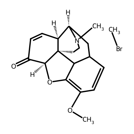 CBr.COC1=C2O[C@H]3C(=O)C=C[C@H]4[C@H]5CC(C=C1)C2[C@@]34CCN5C